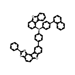 c1ccc(-c2nc3c(ccc4oc5ccc(-c6ccc(N(c7ccc(-c8cccc9ccccc89)cc7)c7cccc8oc9ccccc9c78)cc6)cc5c43)s2)cc1